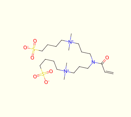 C=CC(=O)N(CCC[N+](C)(C)CCCCS(=O)(=O)[O-])CCC[N+](C)(C)CCCCS(=O)(=O)[O-]